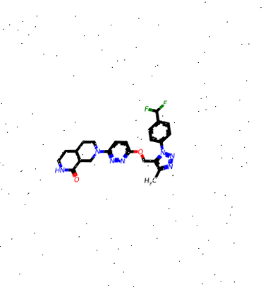 Cc1nnn(-c2ccc(C(F)F)cc2)c1COc1ccc(N2CCC3CCNC(=O)C3C2)nn1